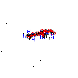 CN(CCOc1ccc(CC2SC(=O)NC2=O)cc1)c1ccc(OC(=O)C[C@@H](NC(=O)c2ccc(C3(C(F)(F)F)N=N3)cc2)C(=O)NCCCOCCOCCOCCCNC(=O)CCCC[C@@H]2SC[C@@H]3NC(=O)N[C@@H]32)cn1